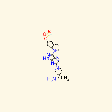 CC1(CN)CCN(c2cnc3c(N4CCCc5cc(OS(=O)(=O)F)ccc54)n[nH]c3n2)CC1